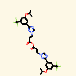 CC(C)Oc1cc(-c2ncn(C=CC(=O)OC(=O)C=Cn3cnc(-c4cc(OC(C)C)cc(C(F)(F)F)c4)n3)n2)cc(C(F)(F)F)c1